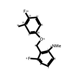 CNc1cccc(F)c1COc1ccc(F)c(C)c1